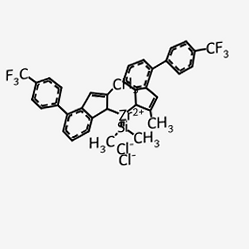 CC1=Cc2c(-c3ccc(C(F)(F)F)cc3)cccc2[CH]1[Zr+2]([CH]1C(C)=Cc2c(-c3ccc(C(F)(F)F)cc3)cccc21)=[Si](C)C.[Cl-].[Cl-]